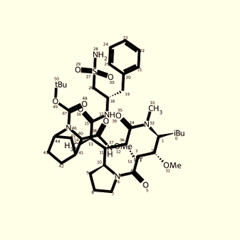 CC[C@H](C)[C@@H]([C@@H](CC(=O)N1CCC[C@H]1[C@H](OC)[C@@H](C)C(=O)N[C@@H](Cc1ccccc1)CS(N)(=O)=O)OC)N(C)C(=O)[C@@H](NC(=O)C1C2CCC(C2)N1C(=O)OC(C)(C)C)C(C)C